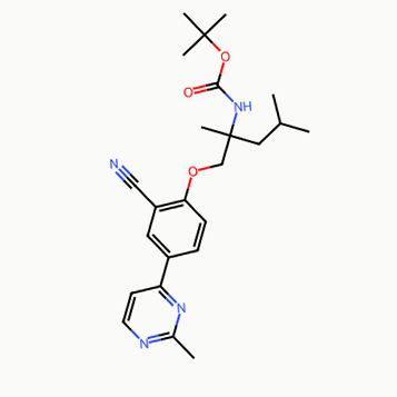 Cc1nccc(-c2ccc(OCC(C)(CC(C)C)NC(=O)OC(C)(C)C)c(C#N)c2)n1